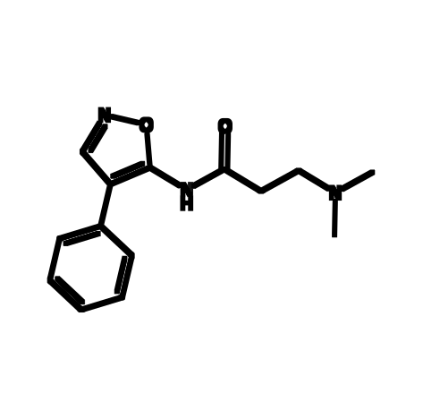 CN(C)CCC(=O)Nc1oncc1-c1ccccc1